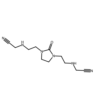 N#CCNCCN1CCN(CCNCC#N)C1=O